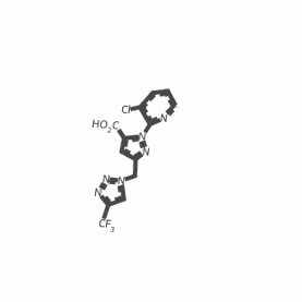 O=C(O)c1cc(Cn2cc(C(F)(F)F)nn2)nn1-c1ncccc1Cl